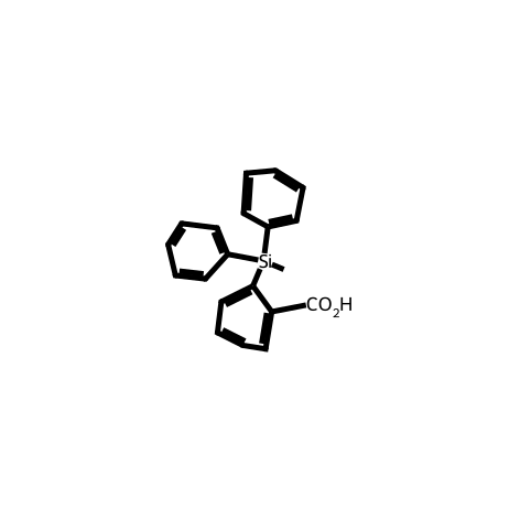 C[Si](c1ccccc1)(c1ccccc1)c1ccccc1C(=O)O